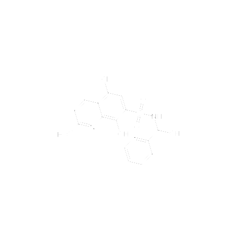 Cc1ccc2c(Cl)cc(S(=O)(=O)NC(C)c3ccccc3)c(O)c2n1